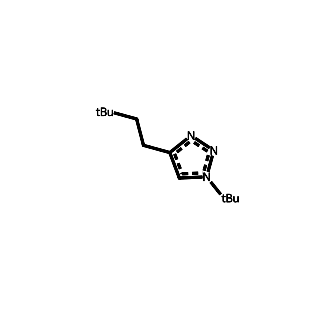 CC(C)(C)CCc1cn(C(C)(C)C)nn1